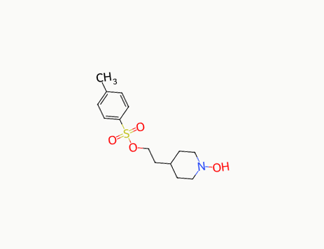 Cc1ccc(S(=O)(=O)OCCC2CCN(O)CC2)cc1